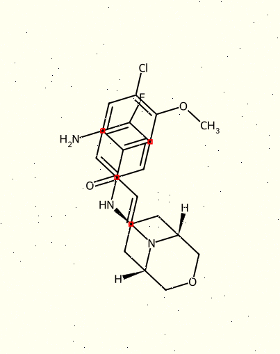 COc1cc(C(=O)/C=C/N2[C@@H]3COC[C@H]2C[C@H](Nc2ccc(F)cc2)C3)c(N)cc1Cl